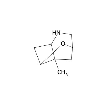 CC12CC3CNC1CC2O3